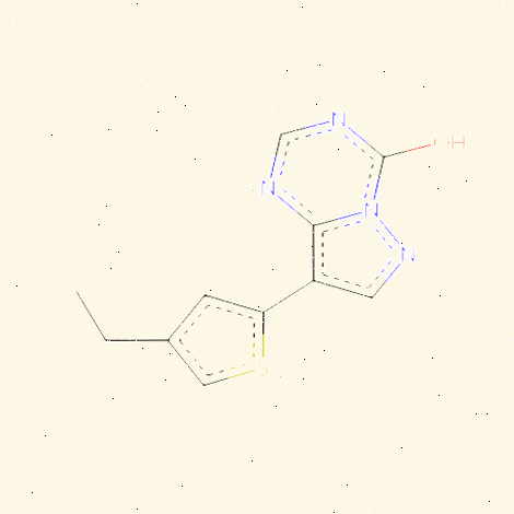 CCc1csc(-c2cnn3c(O)ncnc23)c1